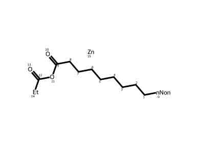 CCCCCCCCCCCCCCCCCC(=O)OC(=O)CC.[Zn]